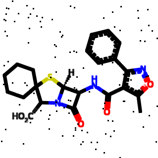 Cc1onc(-c2ccccc2)c1C(=O)NC1C(=O)N2C(C(=O)O)C3(CCCCC3)S[C@@H]12